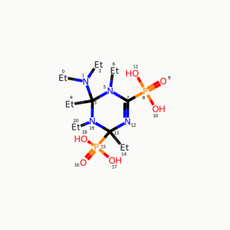 CCN(CC)C1(CC)N(CC)C(P(=O)(O)O)=NC(CC)(P(=O)(O)O)N1CC